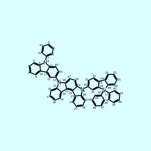 c1ccc(-n2c3ccccc3c3cc(-n4c5ccccc5c5c6c7ccccc7n(-c7ccc8c(c7)[Si](c7ccccc7)(c7ccccc7)c7ccccc7-8)c6ccc54)ccc32)cc1